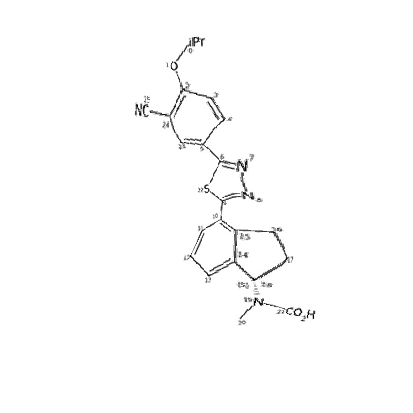 CC(C)Oc1ccc(-c2nnc(-c3cccc4c3CC[C@@H]4N(C)C(=O)O)s2)cc1C#N